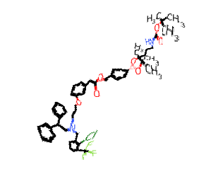 CC(C)(C)OC(=O)NCCCC1(C)OB(c2ccc(COC(=O)Cc3cccc(OCCCN(Cc4cccc(C(F)(F)F)c4Cl)CC(c4ccccc4)c4ccccc4)c3)cc2)OC1(C)C